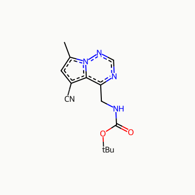 Cc1cc(C#N)c2c(CNC(=O)OC(C)(C)C)ncnn12